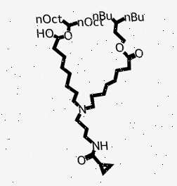 CCCCCCCCC(CCCCCCCC)OC(O)CCCCCCCN(CCCCCCCC(=O)OCCC(CCCC)CCCC)CCCNC(=O)C1CC1